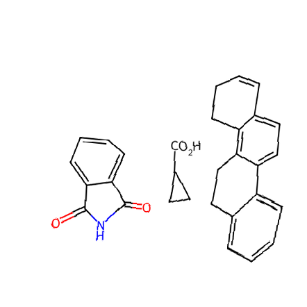 C1=Cc2ccc3c(c2CC1)CCc1ccccc1-3.O=C(O)C1CC1.O=C1NC(=O)c2ccccc21